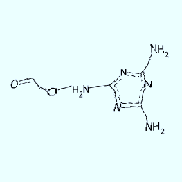 COC=O.Nc1nc(N)nc(N)n1